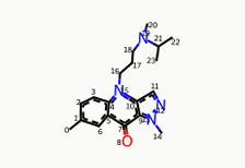 Cc1ccc2c(c1)c(=O)c1c(cnn1C)n2CCCN(C)C(C)C